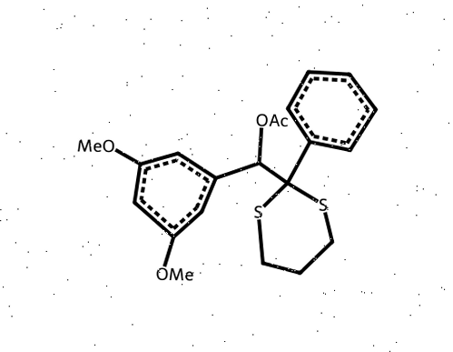 COc1cc(OC)cc(C(OC(C)=O)C2(c3ccccc3)SCCCS2)c1